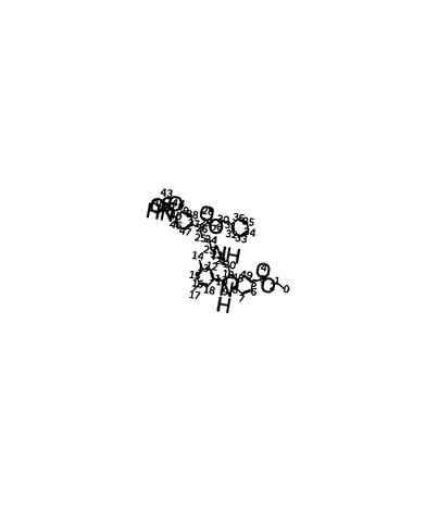 CCOC(=O)c1ccc2[nH]c(-c3cc(C)cc(C)c3)c(CCNCCCC(C(=O)OCc3ccccc3)c3ccc(NS(C)(=O)=O)cc3)c2c1